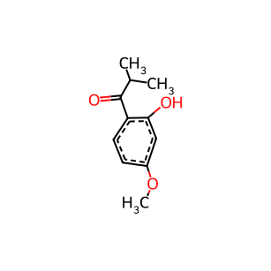 COc1ccc(C(=O)C(C)C)c(O)c1